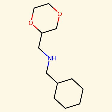 C1CCC(CNCC2COCCO2)CC1